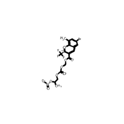 Cc1cc(Br)cc2c1O[C@H](C(F)(F)F)C(C(=O)OCOC(=O)OCC(C)O[N+](=O)[O-])=C2